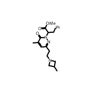 COC(=O)C(CC(C)C)n1nc(CCN2CC(C)C2)cc(C)c1=O